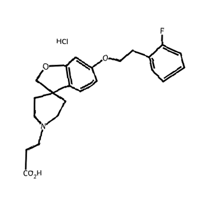 Cl.O=C(O)CCN1CCC2(CC1)COc1cc(OCCc3ccccc3F)ccc12